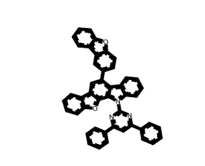 c1ccc(-c2cc(-c3ccccc3)nc(-n3c4ccccc4c4c(-c5ccc6oc7ccccc7c6c5)cc5c6ccccc6oc5c43)n2)cc1